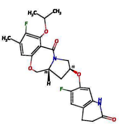 Cc1cc2c(c(OC(C)C)c1F)C(=O)N1C[C@@H](Oc3cc4c(cc3F)CCC(=O)N4)C[C@@H]1CO2